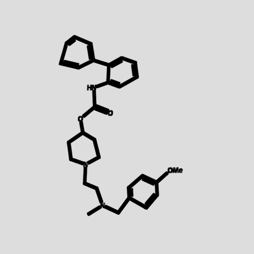 COc1ccc(CN(C)CCN2CCC(OC(=O)Nc3ccccc3-c3ccccc3)CC2)cc1